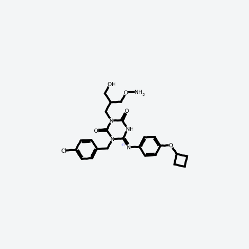 NOCC(CO)Cn1c(=O)[nH]/c(=N\c2ccc(OC3CCC3)cc2)n(Cc2ccc(Cl)cc2)c1=O